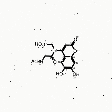 CC(=O)NCC(=O)N(CC(=O)O)c1cc(=O)oc2cc(O)c(O)cc12